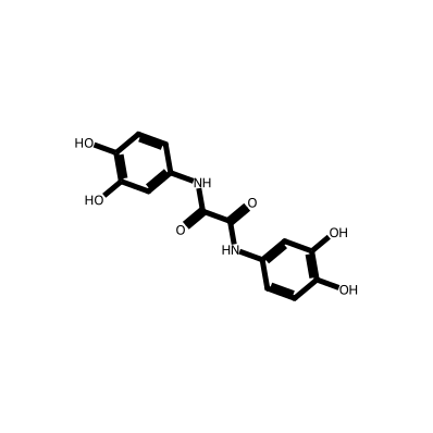 O=C(Nc1ccc(O)c(O)c1)C(=O)Nc1ccc(O)c(O)c1